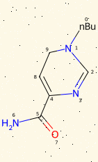 CCCCN1C=NC(C(N)=O)=CC1